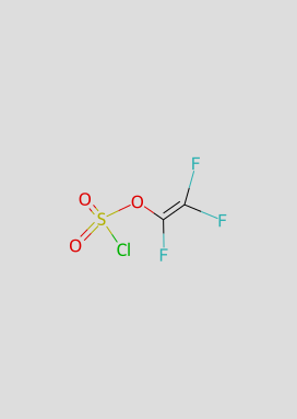 O=S(=O)(Cl)OC(F)=C(F)F